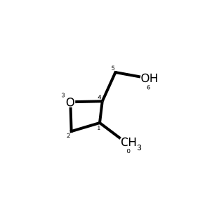 CC1COC1CO